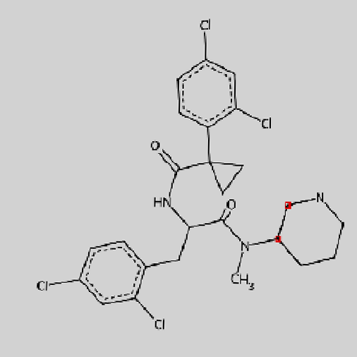 CN(C(=O)C(Cc1ccc(Cl)cc1Cl)NC(=O)C1(c2ccc(Cl)cc2Cl)CC1)C1CN2CCC1CC2